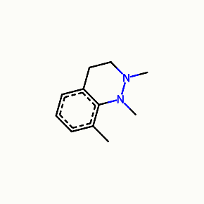 Cc1cccc2c1N(C)N(C)CC2